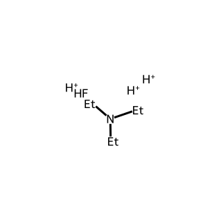 CCN(CC)CC.F.[H+].[H+].[H+]